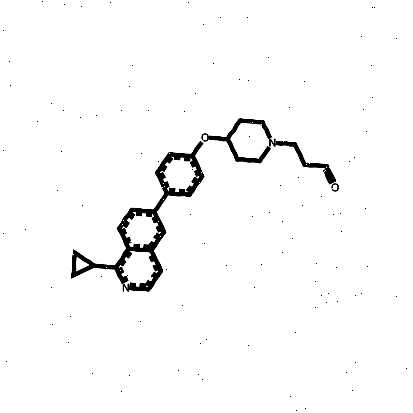 O=CCCN1CCC(Oc2ccc(-c3ccc4c(C5CC5)nccc4c3)cc2)CC1